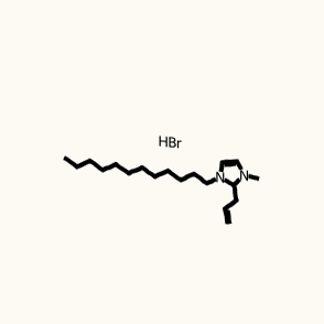 Br.C=CCC1N(C)C=CN1CCCCCCCCCCCC